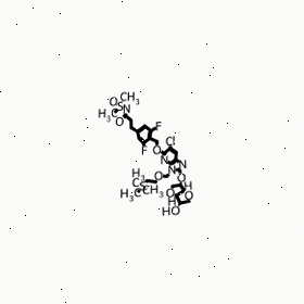 CS(C)(C)CCOCn1c(O[C@@H]2CO[C@H]3[C@@H]2OC[C@H]3O)nc2cc(Cl)c(OCc3c(F)cc(CCC(=O)N=S(C)(C)=O)cc3F)nc21